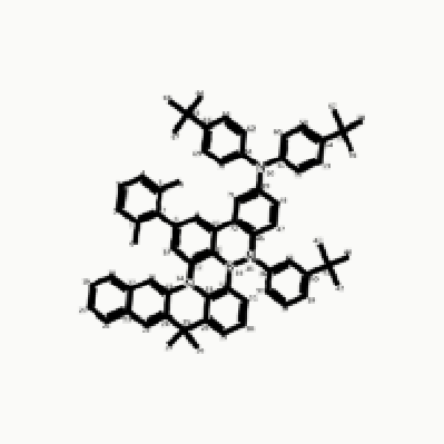 Cc1cccc(C)c1-c1cc2c3c(c1)N1c4cc5ccccc5cc4C(C)(C)c4cccc(c41)B3N(c1cccc(C(C)(C)C)c1)c1ccc(N(c3ccc(C(C)(C)C)cc3)c3ccc(C(C)(C)C)cc3)cc1-2